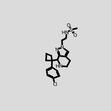 CS(=O)(=O)NCCn1cc2c(n1)C(C1(c3ccc(Cl)cc3)CCC1)NCC2